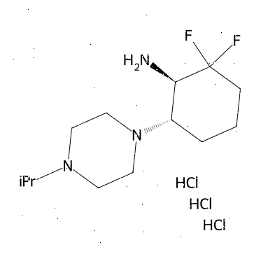 CC(C)N1CCN([C@H]2CCCC(F)(F)[C@@H]2N)CC1.Cl.Cl.Cl